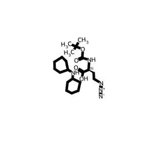 C1CCC(NC2CCCCC2)CC1.CC(C)(C)OC(=O)N[C@@H](CCN=[N+]=[N-])C(=O)O